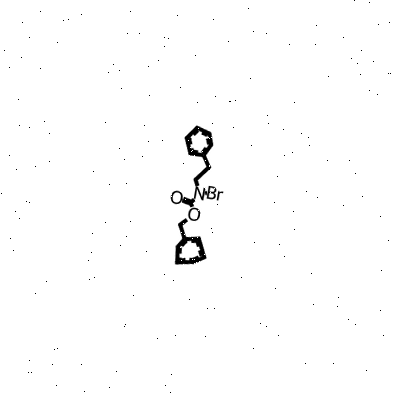 O=C(OCc1ccccc1)N(Br)CCc1ccccc1